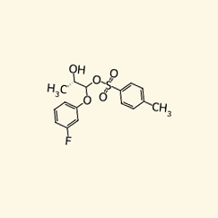 Cc1ccc(S(=O)(=O)OC(Oc2cccc(F)c2)[C@H](C)O)cc1